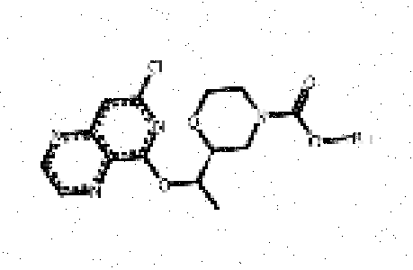 CC(Oc1nc(Cl)cc2nccnc12)[C@@H]1CN(C(=O)OC(C)(C)C)CCO1